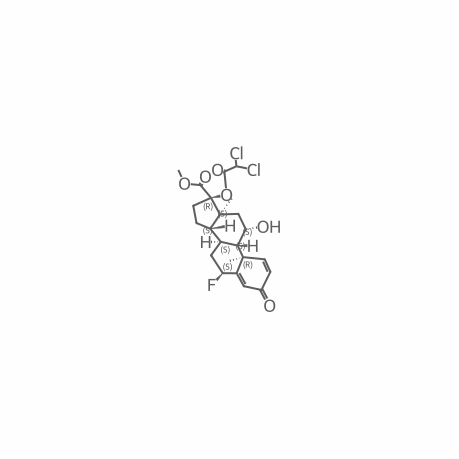 COC(=O)[C@@]1(OC(=O)C(Cl)Cl)CC[C@H]2[C@@H]3C[C@H](F)C4=CC(=O)C=C[C@]4(C)[C@H]3[C@@H](O)C[C@@]21C